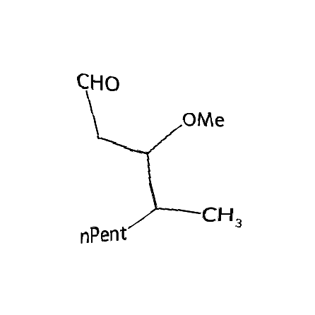 CCCCCC(C)C(CC=O)OC